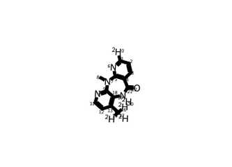 [2H]c1ccc2c(n1)N(C)c1nccc(C([2H])([2H])[2H])c1N([2H])C2=O